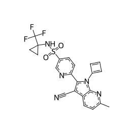 Cc1ccc2c(C#N)c(-c3ccc(S(=O)(=O)NC4(C(F)(F)F)CC4)cn3)n(C3=CC=C3)c2n1